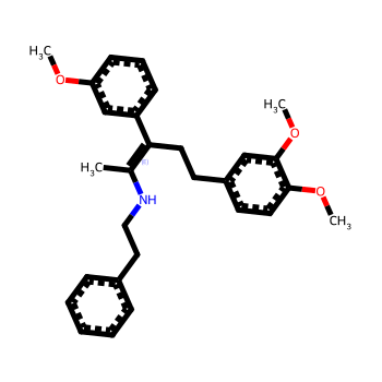 COc1cccc(/C(CCc2ccc(OC)c(OC)c2)=C(\C)NCCc2ccccc2)c1